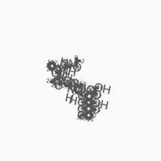 C=C(C)C(=O)NCC(=O)NC(Cc1ccccc1)C(=O)NC(CC(C)C)C(=O)NCC(=O)NC1CC(O[C@H]2C[C@](O)(C(=O)CO)Cc3c(O)c4c(c(O)c32)C(=O)c2c(OC)cccc2C4=O)OC(C)C1O